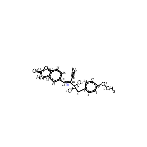 COc1ccc(CS(=O)(=O)/C(C#N)=C/c2ccc3oc(=O)[nH]c3c2)cc1